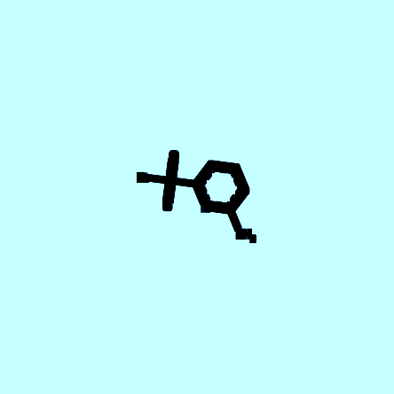 CCS(=O)(=O)c1cccc(N)n1